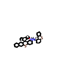 C[C@]12C(Nc3ccc4c(c3)C3(c5cc6ccccc6cc5S4)c4ccccc4-c4ccccc43)=CC=CC1Sc1ccccc12